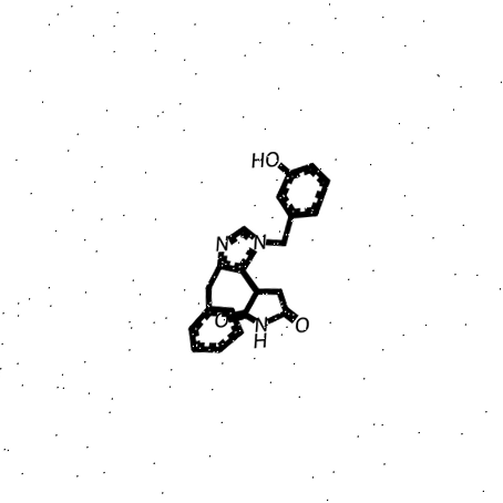 O=C1CC(c2c(Cc3ccccc3)ncn2Cc2cccc(O)c2)C(=O)N1